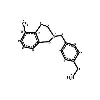 NCc1ccc(CN2CCc3c(cccc3C(F)(F)F)C2)cc1